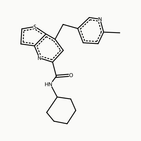 Cc1ccc(Cc2cc(C(=O)NC3CCCCC3)nc3ccsc23)cn1